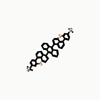 C[Si](C)(C)c1ccc2c(c1)Sc1ccc(-c3c4ccccc4c(-c4ccc5c6c(cccc46)-c4ccc([Si](C)(C)C)cc4S5)c4ccccc34)c3cccc-2c13